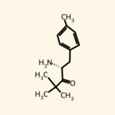 Cc1ccc(C[C@@H](N)C(=O)C(C)(C)C)cc1